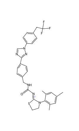 Cc1cc(C)c(N2CCS/C2=N\C(=O)NCc2ccc(-c3ncn(-c4ccc(CC(F)(F)F)cc4)n3)cc2)c(C)c1